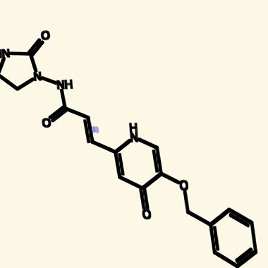 O=C(/C=C/c1cc(=O)c(OCc2ccccc2)c[nH]1)NN1CCNC1=O